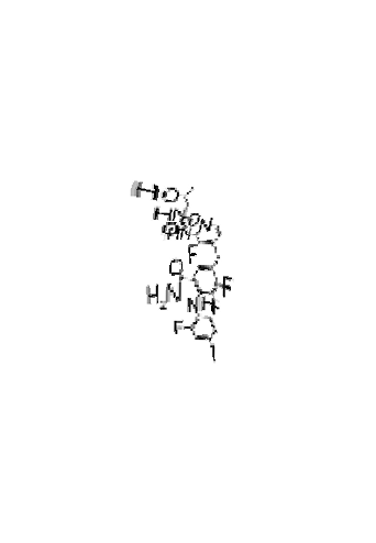 CC(O)CNS(=O)(=O)Nc1nccc(Cc2cc(C(N)=O)c(Nc3ccc(I)cc3F)c(F)c2F)c1F